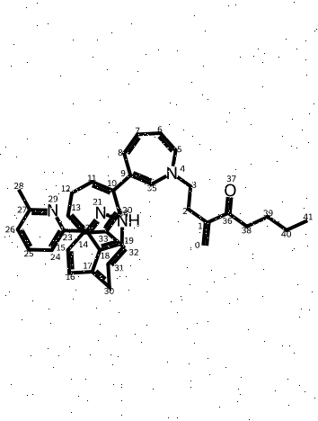 C=C(CCN1C=CC=CC(C2=CCC=C3\C=C/C(c4c[nH]nc4-c4cccc(C)n4)=C/C=C/C3=C2)=C1)C(=O)CCCC